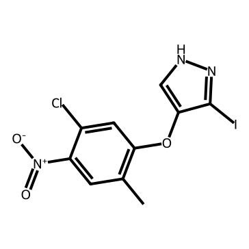 Cc1cc([N+](=O)[O-])c(Cl)cc1Oc1c[nH]nc1I